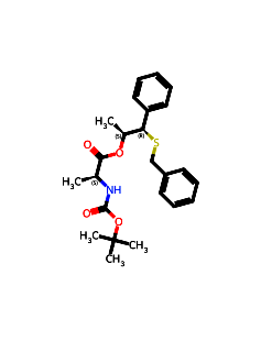 C[C@H](NC(=O)OC(C)(C)C)C(=O)O[C@@H](C)[C@H](SCc1ccccc1)c1ccccc1